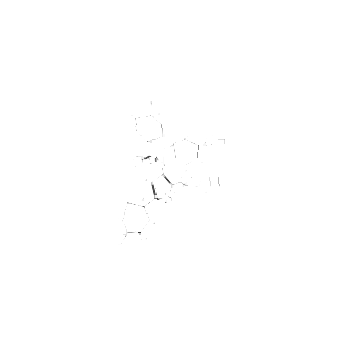 CC1CCC(c2cc(N(C(=O)[C@H]3CC[C@H](C)CC3)[C@H]3CC[C@H](O)CC3)c(C(=O)O)s2)CC1